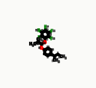 CCC(C)c1ccc(OC(Oc2c(F)c(F)c(F)c(F)c2F)C(C)C)cc1